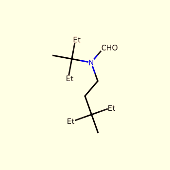 CCC(C)(CC)CCN(C=O)C(C)(CC)CC